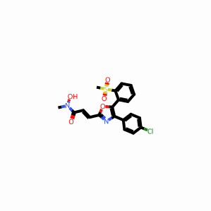 CN(O)C(=O)C=Cc1nc(-c2ccc(Cl)cc2)c(-c2ccccc2S(C)(=O)=O)o1